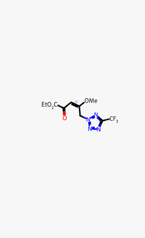 CCOC(=O)C(=O)/C=C(\Cn1nnc(C(F)(F)F)n1)OC